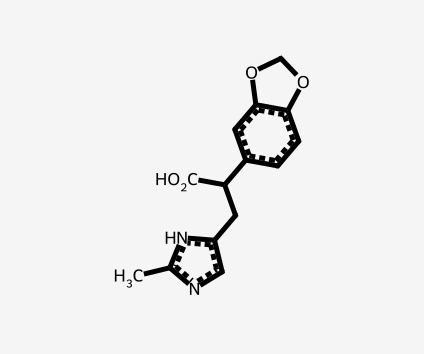 Cc1ncc(CC(C(=O)O)c2ccc3c(c2)OCO3)[nH]1